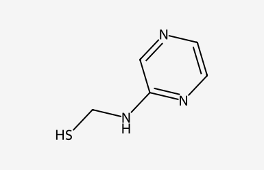 SCNc1cnccn1